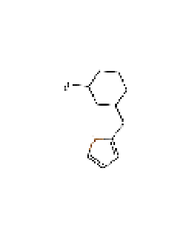 CC1CCCC(Cc2cccs2)C1